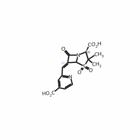 CC1(C)[C@H](C(=O)O)N2C(=O)/C(=C/c3cc(C(=O)O)ccn3)C2S1(=O)=O